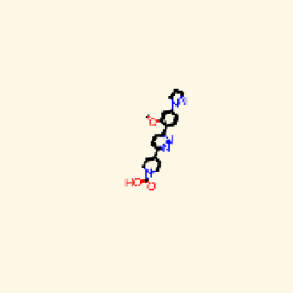 COc1cc(-n2cccn2)ccc1-c1ccc(C2=CCN(C(=O)O)CC2)nn1